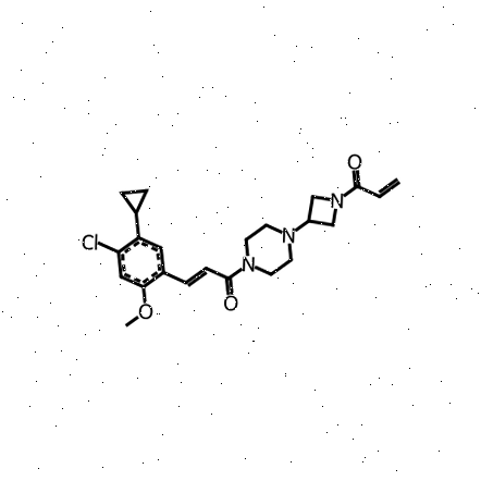 C=CC(=O)N1CC(N2CCN(C(=O)C=Cc3cc(C4CC4)c(Cl)cc3OC)CC2)C1